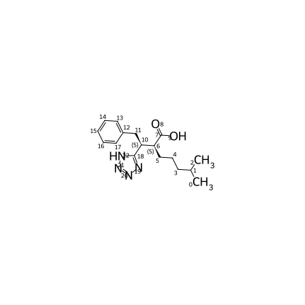 CC(C)CCC[C@H](C(=O)O)[C@H](Cc1ccccc1)c1nnn[nH]1